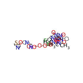 C[C@@H](C(=O)N[C@H](C(=O)N1CCN(C(=O)c2cc3cc(F)c(F)cc3n2CC(=O)N(C)CCOCCOCCOCCOc2cc(CN3CCC(Oc4ccnc5ccsc45)CC3)on2)CC1)C1CCCCC1)N(C)C(=O)OC(C)(C)C